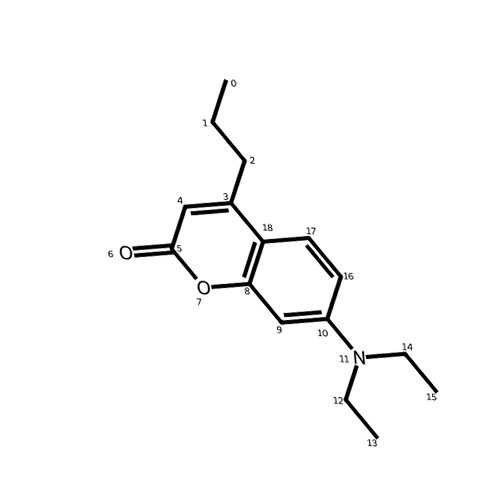 CCCc1cc(=O)oc2cc(N(CC)CC)ccc12